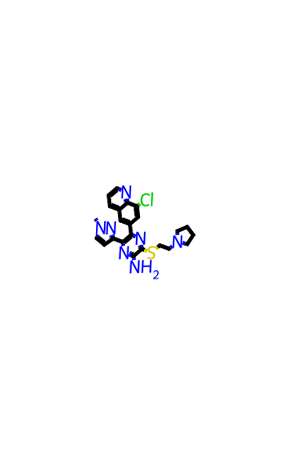 Cn1ccc(-c2nc(N)c(SCCN3CCCC3)nc2-c2cc(Cl)c3ncccc3c2)n1